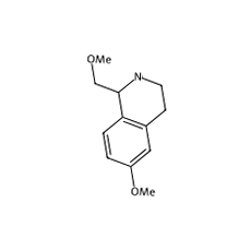 COCC1[N]CCc2cc(OC)ccc21